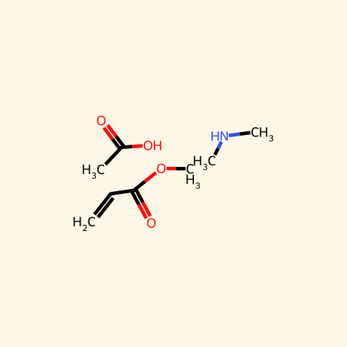 C=CC(=O)OC.CC(=O)O.CNC